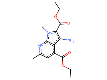 CCOC(=O)c1cc(C)nc2c1c(N)c(C(=O)OCC)n2C